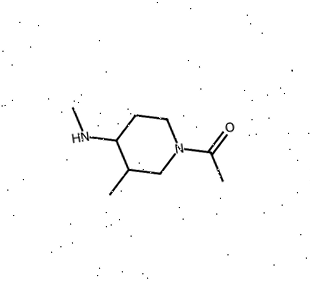 CNC1CCN(C(C)=O)CC1C